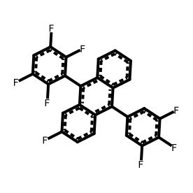 Fc1ccc2c(-c3cc(F)c(F)c(F)c3)c3ccccc3c(-c3c(F)c(F)cc(F)c3F)c2c1